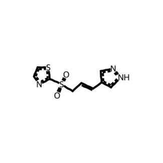 O=S(=O)(CC=Cc1cn[nH]c1)c1nccs1